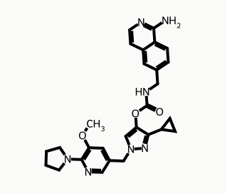 COc1cc(Cn2cc(OC(=O)NCc3ccc4c(N)nccc4c3)c(C3CC3)n2)cnc1N1CCCC1